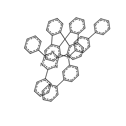 c1ccc(-c2ccc(N(c3cccc(-c4ccccc4)c3)c3cccc4c3C3(c5ccccc5-c5cccc(-c6nc(-c7ccccc7)nc(-c7ccccc7)n6)c53)c3ccccc3-4)cc2)cc1